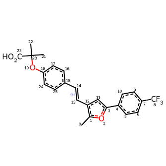 Cc1oc(-c2ccc(C(F)(F)F)cc2)cc1/C=C/c1ccc(OC(C)(C)C(=O)O)cc1